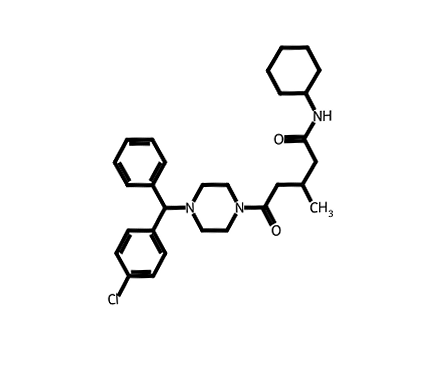 CC(CC(=O)NC1CCCCC1)CC(=O)N1CCN(C(c2ccccc2)c2ccc(Cl)cc2)CC1